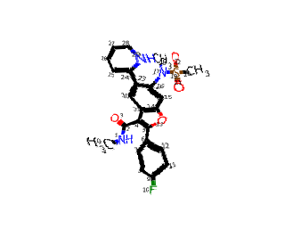 CNC(=O)c1c(-c2ccc(F)cc2)oc2cc(N(C)S(C)(=O)=O)c(C3=CC=CCN3)cc12